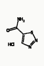 Cl.NC(=O)c1cnns1